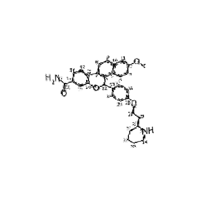 COc1ccc2c3c(ccc2c1)-c1ccc(C(N)=O)cc1OC3c1ccc(OCCC2CCCCN2)cc1